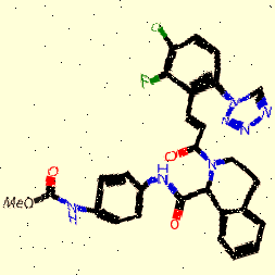 COC(=O)Nc1ccc(NC(=O)C2c3ccccc3CCN2C(=O)C=Cc2c(-n3cnnn3)ccc(Cl)c2F)cc1